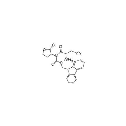 CC(C)C[C@H](N)C(=O)N(C(=O)OCC1c2ccccc2-c2ccccc21)[C@H]1CCOC1=O